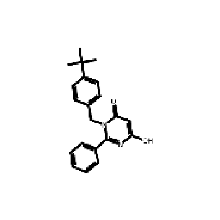 CC(C)(C)c1ccc(Cn2c(-c3ccccc3)nc(O)cc2=O)cc1